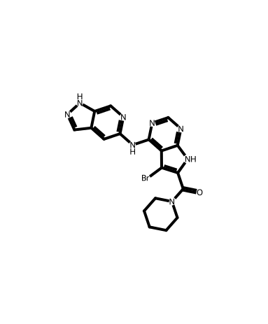 O=C(c1[nH]c2ncnc(Nc3cc4cn[nH]c4cn3)c2c1Br)N1CCCCC1